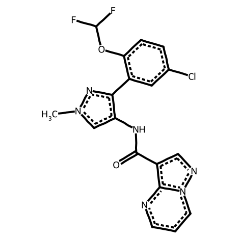 Cn1cc(NC(=O)c2cnn3cccnc23)c(-c2cc(Cl)ccc2OC(F)F)n1